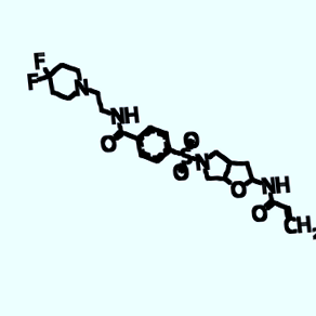 C=CC(=O)NC1CC2CN(S(=O)(=O)c3ccc(C(=O)NCCN4CCC(F)(F)CC4)cc3)CC2O1